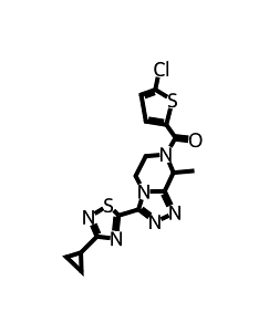 CC1c2nnc(-c3nc(C4CC4)ns3)n2CCN1C(=O)c1ccc(Cl)s1